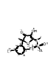 CCS(=O)(=O)N(C)C1=C(O)C(=O)C(C)(c2cc(Cl)ccc2F)O1